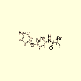 CC(Br)C(=O)Nc1ccc(Oc2ccc(F)cc2)nn1